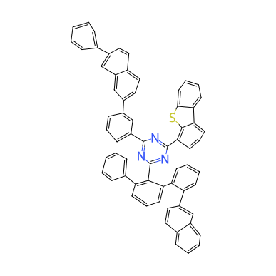 c1ccc(-c2ccc3ccc(-c4cccc(-c5nc(-c6c(-c7ccccc7)cccc6-c6ccccc6-c6ccc7ccccc7c6)nc(-c6cccc7c6sc6ccccc67)n5)c4)cc3c2)cc1